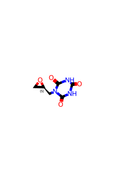 O=c1[nH]c(=O)n(C[C@H]2CO2)c(=O)[nH]1